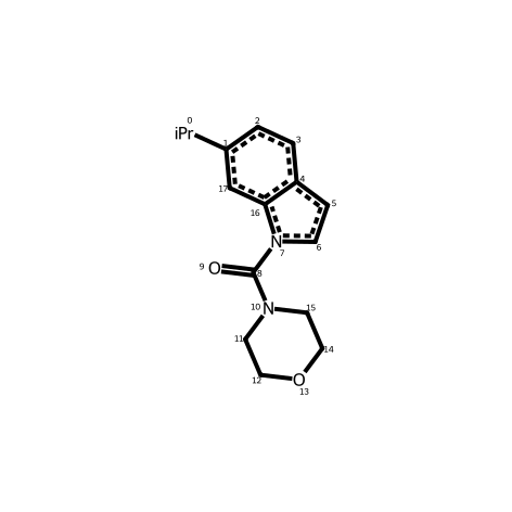 CC(C)c1ccc2ccn(C(=O)N3CCOCC3)c2c1